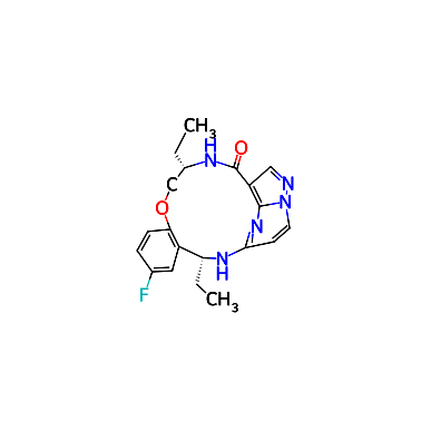 CC[C@H]1COc2ccc(F)cc2[C@@H](CC)Nc2ccn3ncc(c3n2)C(=O)N1